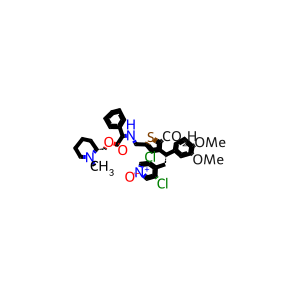 COc1ccc([C@H](Cc2c(Cl)c[n+]([O-])cc2Cl)c2cc(CNC(C(=O)OC[C@H]3CCCCN3C)c3ccccc3)sc2C(=O)O)cc1OC